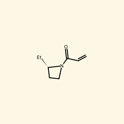 C=CC(=O)N1CC[C@@H]1CC